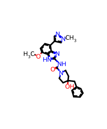 COc1ccc(-c2cnn(C)c2)c2nc(NC(=O)N3CCC(O)(Cc4ccccc4)CC3)[nH]c12